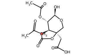 CC(=O)O[C@@H]1[C@@H](O)OC[C@@](CC(=O)O)(OC(C)=O)[C@H]1OC(C)=O